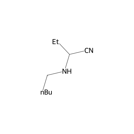 CCCCCNC(C#N)CC